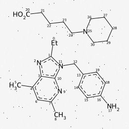 CCc1nc2c(C)cc(C)nc2n1Cc1ccc(N)cc1.O=C(O)CCCCN1CCCCC1